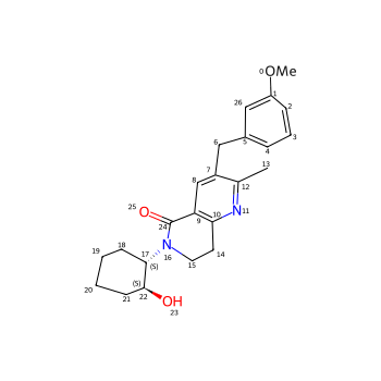 COc1cccc(Cc2cc3c(nc2C)CCN([C@H]2CCCC[C@@H]2O)C3=O)c1